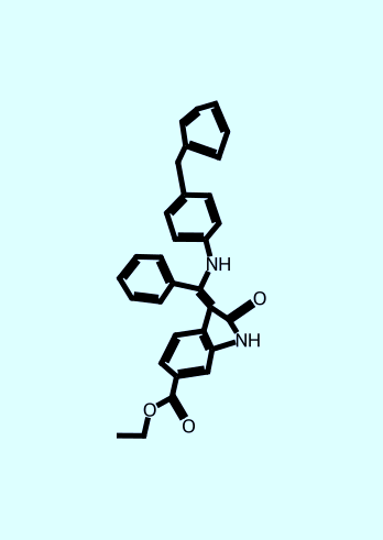 CCOC(=O)c1ccc2c(c1)NC(=O)/C2=C(\Nc1ccc(Cc2ccccc2)cc1)c1ccccc1